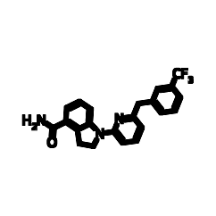 NC(=O)c1cccc2c1CCN2c1cccc(Cc2cccc(C(F)(F)F)c2)n1